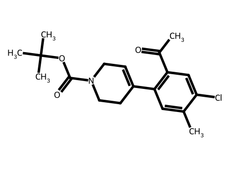 CC(=O)c1cc(Cl)c(C)cc1C1=CCN(C(=O)OC(C)(C)C)CC1